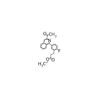 CCOC(=O)CCc1cc(-c2nc(C(C)=O)cc3ccccc23)ccc1F